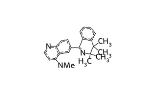 CNc1ccnc2ccc(C3=NC(C)(C)C(C)(C)c4ccccc43)cc12